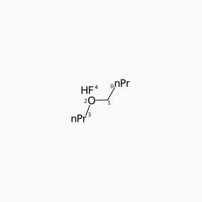 CCCCOCCC.F